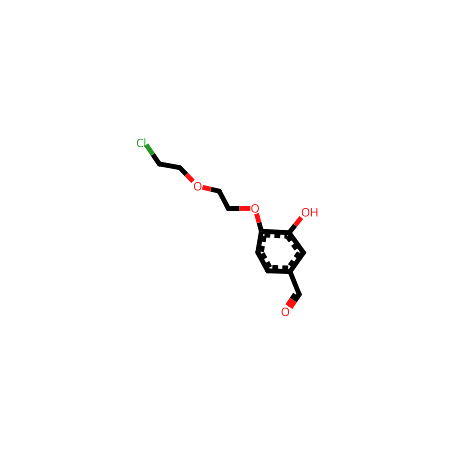 O=Cc1ccc(OCCOCCCl)c(O)c1